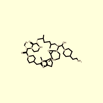 CC(C)C[C@@H](C(=O)N1CCC(Cc2nc3c(n2C)CCC3)CC1)N1CCN[C@@H](CC(C)CCC(C)C[C@@H](C(O)N2CCC(CCN)CC2)N2CCN[C@@H](C)C3OC32)C1=O